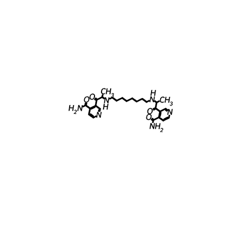 CC(NCCCCCCCCNC(C)C(=O)c1cnccc1C(N)=O)C(=O)c1cnccc1C(N)=O